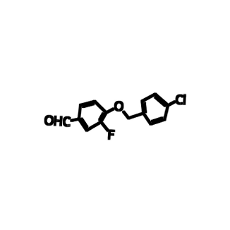 O=Cc1ccc(OCc2ccc(Cl)cc2)c(F)c1